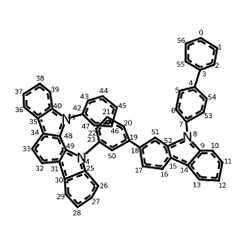 c1ccc(-c2ccc(-n3c4ccccc4c4ccc(-c5cccc(-n6c7ccccc7c7ccc8c9ccccc9n(-c9ccccc9)c8c76)c5)cc43)cc2)cc1